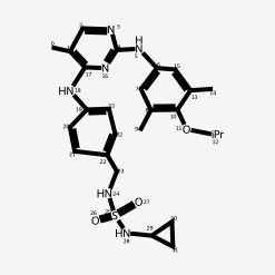 Cc1cnc(Nc2cc(C)c(OC(C)C)c(C)c2)nc1Nc1ccc(CNS(=O)(=O)NC2CC2)cc1